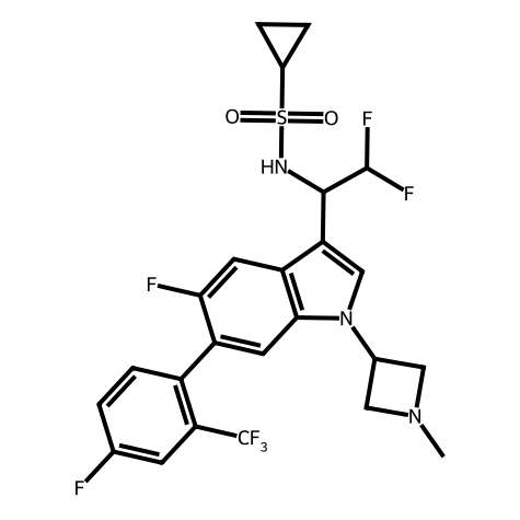 CN1CC(n2cc(C(NS(=O)(=O)C3CC3)C(F)F)c3cc(F)c(-c4ccc(F)cc4C(F)(F)F)cc32)C1